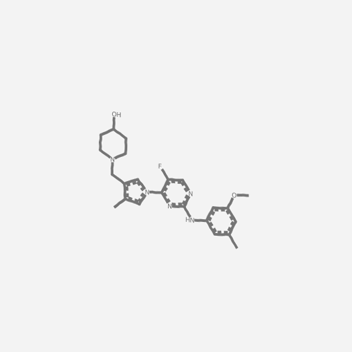 COc1cc(C)cc(Nc2ncc(F)c(-n3cc(C)c(CN4CCC(O)CC4)c3)n2)c1